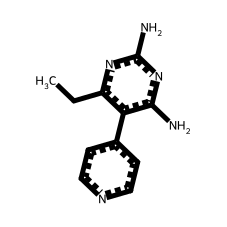 CCc1nc(N)nc(N)c1-c1ccncc1